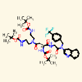 CC(C)(C)OC(=O)NCCN(CCNC(=O)OC(C)(C)C)C(=O)C[C@H](NC(=O)OC(C)(C)C)C(=O)NCC(=O)N(Cc1ccc(C(F)(F)F)cc1)c1cnc2ccccc2c1